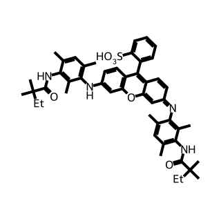 CCC(C)(C)C(=O)Nc1c(C)cc(C)c(/N=c2/ccc3c(-c4ccccc4S(=O)(=O)O)c4ccc(Nc5c(C)cc(C)c(NC(=O)C(C)(C)CC)c5C)cc4oc-3c2)c1C